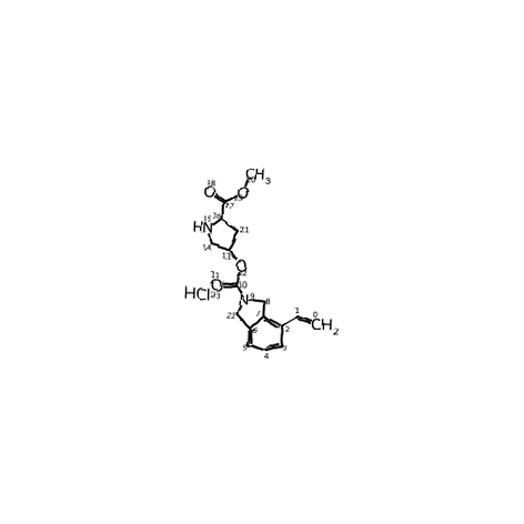 C=Cc1cccc2c1CN(C(=O)OC1CNC(C(=O)OC)C1)C2.Cl